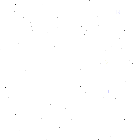 CCCCC(CCCC)/C(C#N)=C/c1scc(C#N)c1C